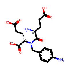 Nc1ccc(CN(C(=O)[C@@H](N)CCC(=O)O)[C@@H](CCC(=O)O)C(=O)O)cc1